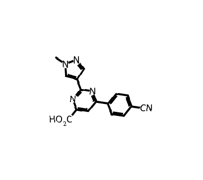 Cn1cc(-c2nc(C(=O)O)cc(-c3ccc(C#N)cc3)n2)cn1